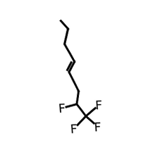 CCCC=CCC(F)C(F)(F)F